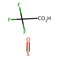 O=C(O)C(F)(F)F.O=S